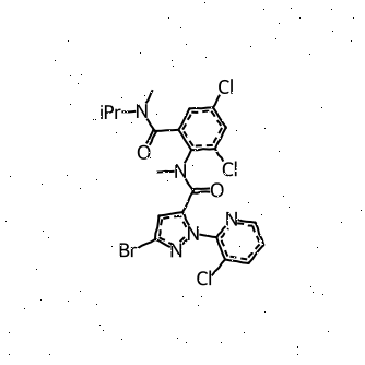 CC(C)N(C)C(=O)c1cc(Cl)cc(Cl)c1N(C)C(=O)c1cc(Br)nn1-c1ncccc1Cl